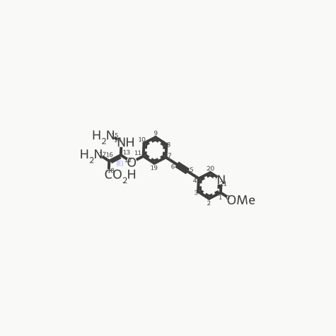 COc1ccc(C#Cc2cccc(O/C(NN)=C(/N)C(=O)O)c2)cn1